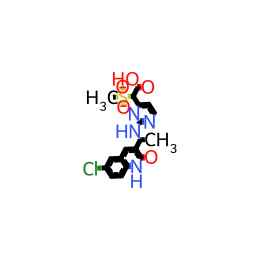 CC(Nc1nccc(C(C(=O)O)S(C)(=O)=O)n1)c1cc2cc(Cl)ccc2[nH]c1=O